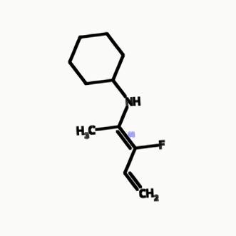 C=C/C(F)=C(\C)NC1CCCCC1